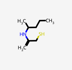 C=C(CS)NC(C)CCC